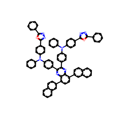 c1ccc(-c2nnc(-c3ccc(N(c4ccccc4)c4ccc(-c5nc6c(-c7ccc8ccccc8c7)ccc(-c7ccc8ccccc8c7)c6nc5-c5ccc(N(c6ccccc6)c6ccc(-c7nnc(-c8ccccc8)o7)cc6)cc5)cc4)cc3)o2)cc1